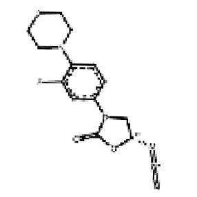 [N-]=[N+]=N[C@H]1CN(c2ccc(N3CCOCC3)c(F)c2)C(=O)O1